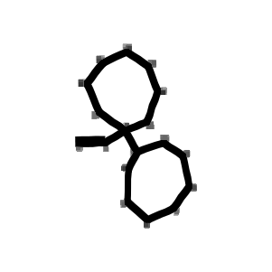 C=CC1(C2CCCCCCC2)CCCCCCC1